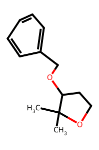 CC1(C)OCCC1OCc1ccccc1